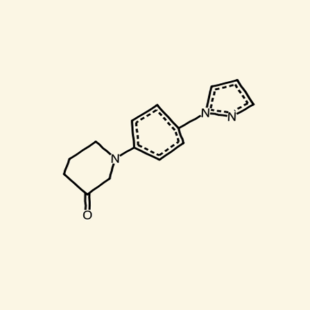 O=C1CCCN(c2ccc(-n3cccn3)cc2)C1